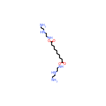 NCCNCCNOC(=O)CCCCCCCCC(=O)ONCCNCCN